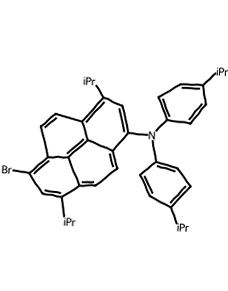 CC(C)c1ccc(N(c2ccc(C(C)C)cc2)c2cc(C(C)C)c3ccc4c(Br)cc(C(C)C)c5ccc2c3c45)cc1